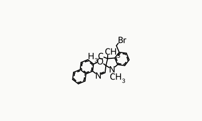 CN1c2cccc(CBr)c2C(C)(C)C12C=Nc1c(ccc3ccccc13)O2